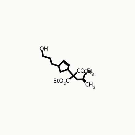 C=C(C)CC(C(=O)OCC)(C(=O)OCC)C1C=CC(CCCO)C1